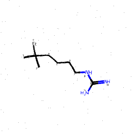 CCC(C)(C)CCCCNC(=N)N